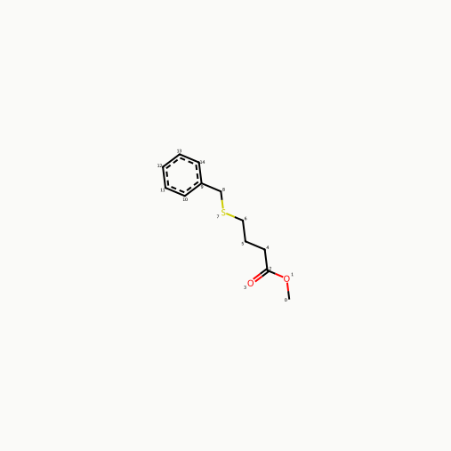 COC(=O)CCCSCc1ccccc1